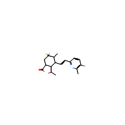 Cc1nc(C=CC2C3C(C)OC(=O)C3CC(F)(F)C2C)ccc1Br